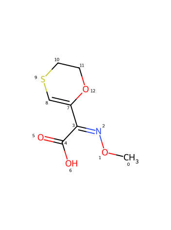 CON=C(C(=O)O)C1=CSCCO1